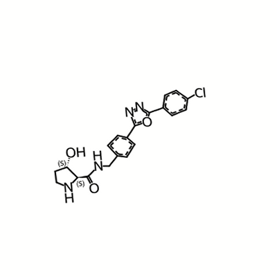 O=C(NCc1ccc(-c2nnc(-c3ccc(Cl)cc3)o2)cc1)[C@H]1NCC[C@@H]1O